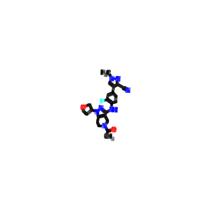 CC(=O)N1CCc2c(c(Nc3ccc(-c4cn(C)nc4C#N)cc3F)nn2C2CCOC2)C1